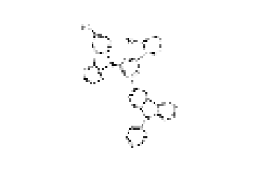 N#Cc1ccc2c(c1)c1ccccc1n2-c1cc(-c2ccc3c(c2)c2ccccc2n3-c2ccccc2)cc(-c2ccccc2C#N)c1